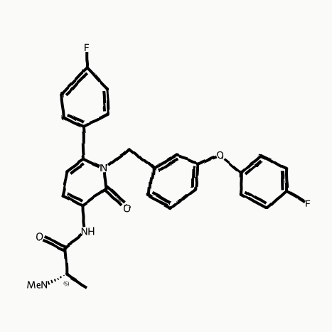 CN[C@@H](C)C(=O)Nc1ccc(-c2ccc(F)cc2)n(Cc2cccc(Oc3ccc(F)cc3)c2)c1=O